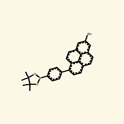 CC(C)(C)c1cc2ccc3ccc(-c4ccc(B5OC(C)(C)C(C)(C)O5)cc4)c4ccc(c1)c2c34